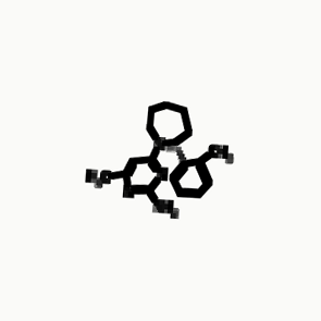 Cc1cc(N2CCCCC[C@@H]2c2ccccc2C)nc(N)n1